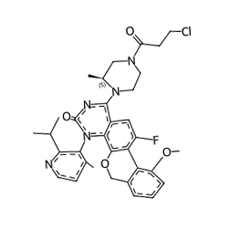 COc1cccc2c1-c1c(F)cc3c(N4CCN(C(=O)CCCl)C[C@@H]4C)nc(=O)n(-c4c(C)ccnc4C(C)C)c3c1OC2